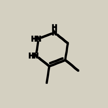 CC1=C(C)NNNC1